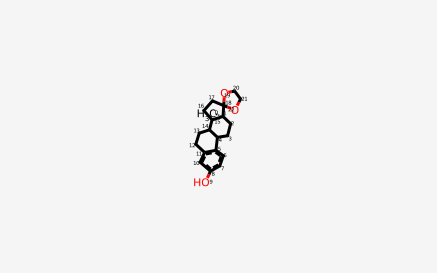 C[C@]12CCC3c4ccc(O)cc4CCC3C1CCC21OCCO1